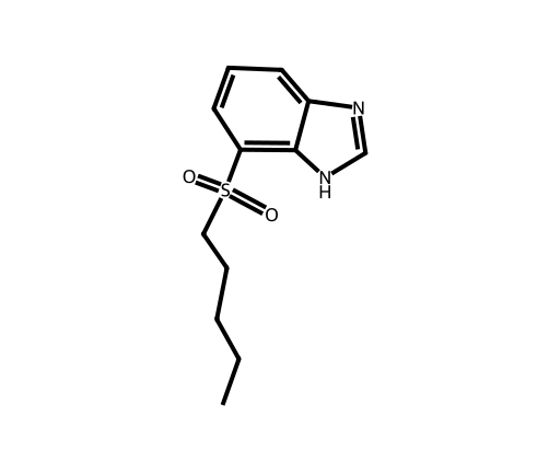 CCCCCS(=O)(=O)c1cccc2nc[nH]c12